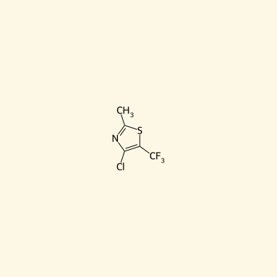 Cc1nc(Cl)c(C(F)(F)F)s1